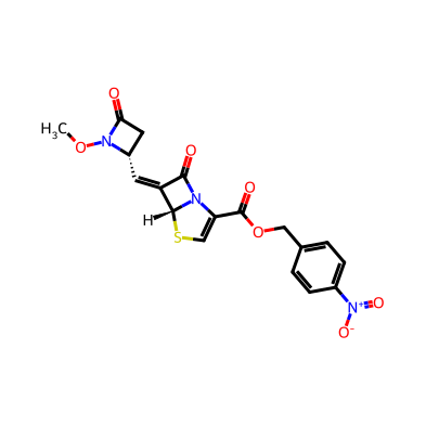 CON1C(=O)C[C@@H]1C=C1C(=O)N2C(C(=O)OCc3ccc([N+](=O)[O-])cc3)=CS[C@H]12